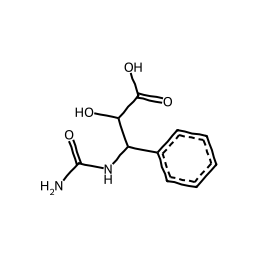 NC(=O)NC(c1ccccc1)C(O)C(=O)O